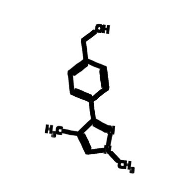 Cc1cn(C)nc1-c1ccc(CO)cc1